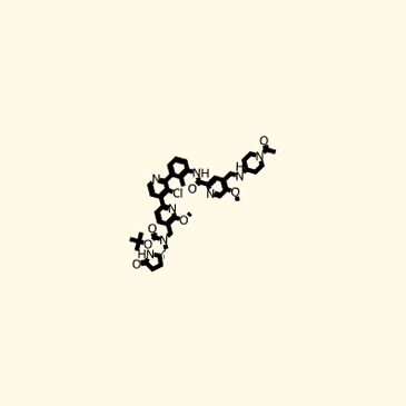 COc1cnc(C(=O)Nc2cccc(-c3nccc(-c4ccc(CN(C[C@@H]5CCC(=O)N5)C(=O)OC(C)(C)C)c(OC)n4)c3Cl)c2C)cc1CNC1CCN(C(C)=O)CC1